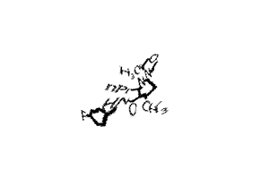 CCCc1nc(N2CCOC[C@H]2C)cc(C)c1C(=O)NCc1ccc(F)cc1